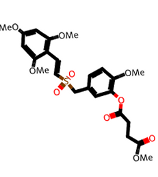 COC(=O)CCC(=O)Oc1cc(CS(=O)(=O)C=Cc2c(OC)cc(OC)cc2OC)ccc1OC